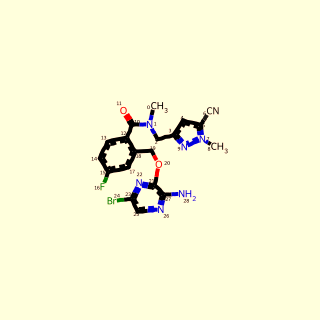 CN(Cc1cc(C#N)n(C)n1)C(=O)c1ccc(F)cc1COc1nc(Br)cnc1N